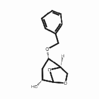 O[C@@H]1C[C@H](OCc2ccccc2)[C@H]2COC1O2